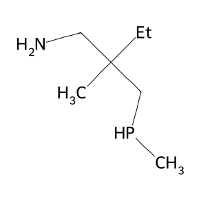 CCC(C)(CN)CPC